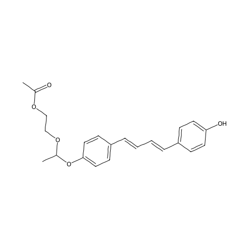 CC(=O)OCCOC(C)Oc1ccc(C=CC=Cc2ccc(O)cc2)cc1